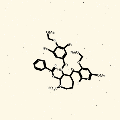 COCOc1cc(OC)cc(F)c1C(=O)C1CCCN(C(=O)O)C(OC(=O)c2ccccc2)C1NC(=O)c1cc(C(C)C)c(OCOC)c(C(C)C)c1